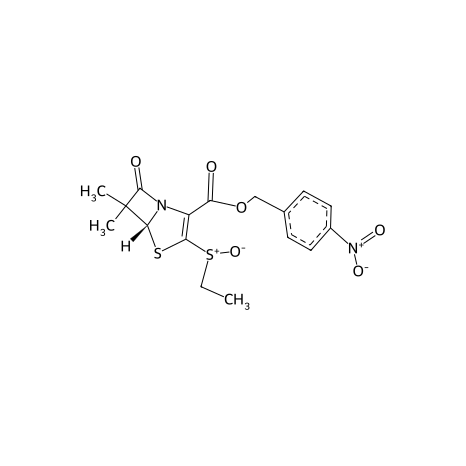 CC[S+]([O-])C1=C(C(=O)OCc2ccc([N+](=O)[O-])cc2)N2C(=O)C(C)(C)[C@H]2S1